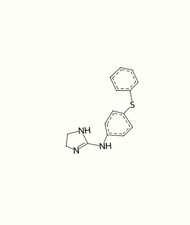 c1ccc(Sc2ccc(NC3=NCCN3)cc2)cc1